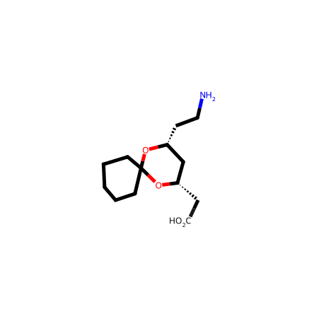 NCC[C@@H]1C[C@H](CC(=O)O)OC2(CCCCC2)O1